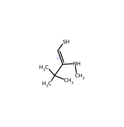 CN/C(=C\S)C(C)(C)C